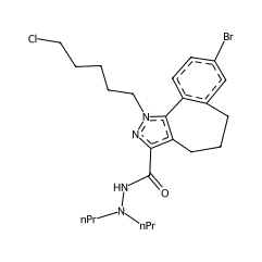 CCCN(CCC)NC(=O)c1nn(CCCCCCl)c2c1CCCc1cc(Br)ccc1-2